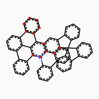 c1ccc(-c2ccccc2-c2c(-c3ccccc3)cccc2-c2ccccc2CN(c2ccc3c(c2)C2(c4ccccc4-c4ccccc42)c2ccccc2-3)c2ccccc2-c2ccccc2)cc1